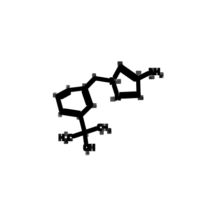 CC(C)(O)c1cccc(Cn2cc(N)cn2)c1